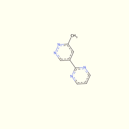 Cc1cc(-c2ncccn2)cnn1